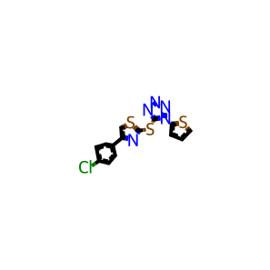 Clc1ccc(-c2csc(Sc3nnnn3-c3cccs3)n2)cc1